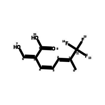 C\C(=C/C=C\C(=C\O)C(=O)O)C(F)(F)F